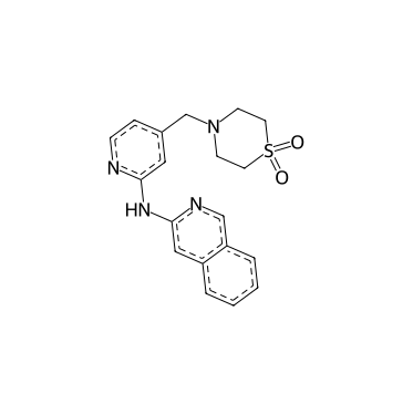 O=S1(=O)CCN(Cc2ccnc(Nc3cc4ccccc4cn3)c2)CC1